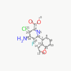 COC(=O)c1nc(-c2cccc3occc23)c(F)c(N)c1Cl